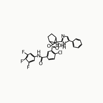 O=C(Nc1cc(F)c(F)c(F)c1)c1ccc(Cl)c(S(=O)(=O)[C@@H]2C3CCC2[C@@](O)(c2ncc(-c4ccccc4)[nH]2)C3)c1